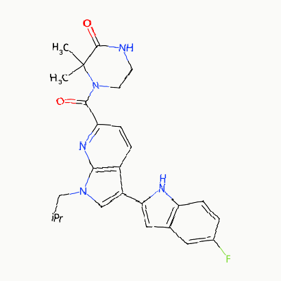 CC(C)Cn1cc(-c2cc3cc(F)ccc3[nH]2)c2ccc(C(=O)N3CCNC(=O)C3(C)C)nc21